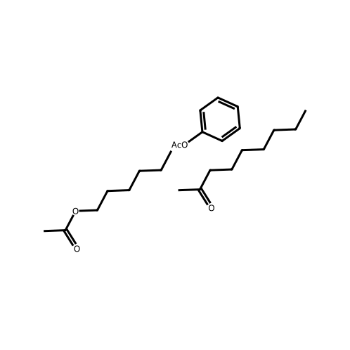 CC(=O)Oc1ccccc1.CCCCCCCC(C)=O.CCCCCCOC(C)=O